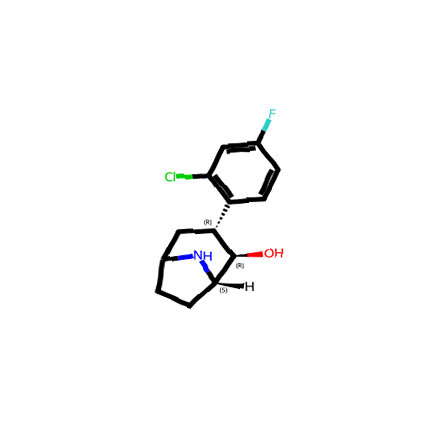 O[C@H]1[C@@H]2CCC(C[C@@H]1c1ccc(F)cc1Cl)N2